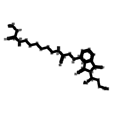 CC(=O)CCC(C(C)=O)N1C(=O)c2cccc(OCC(=O)NCCCCCCNC(=O)OC(C)(C)C)c2C1=O